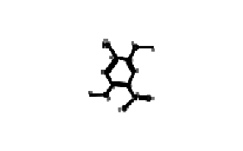 COc1cc([N+](=O)[O-])c(OC)cc1S